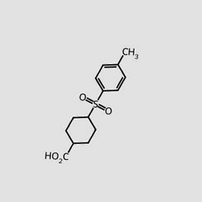 Cc1ccc(S(=O)(=O)C2CCC(C(=O)O)CC2)cc1